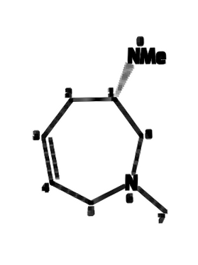 CN[C@H]1CC=CCN(C)C1